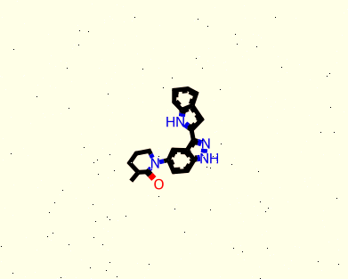 CC1CCCN(c2ccc3[nH]nc(-c4cc5ccccc5[nH]4)c3c2)C1=O